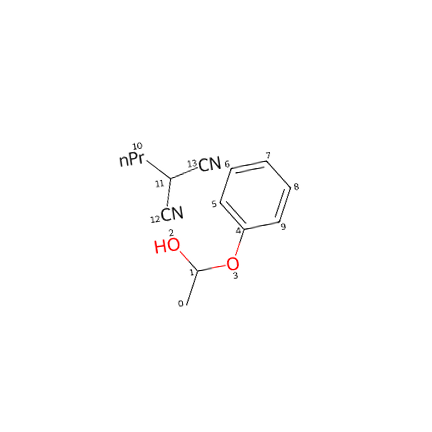 CC(O)Oc1ccccc1.CCCC(C#N)C#N